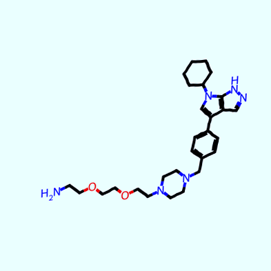 NCCOCCOCCN1CCN(Cc2ccc(-c3cn(C4CCCCC4)c4[nH]ncc34)cc2)CC1